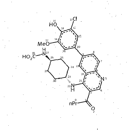 CCCC(=O)c1cnc2ccc(-c3cc(Cl)c(O)c(OC)c3)cc2c1N[C@H]1CC[C@H](NC(=O)O)CC1